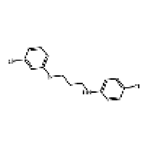 Clc1ccc(NCCCNc2cccc(Cl)c2)cc1